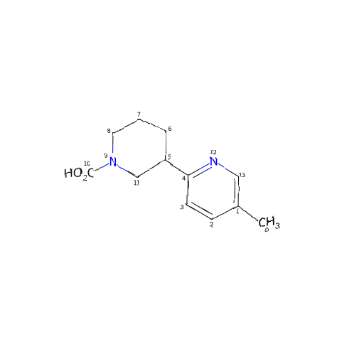 Cc1ccc(C2CCCN(C(=O)O)C2)nc1